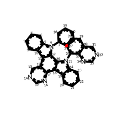 c1ccc(-n2c3ccccc3c3c4cncnc4c4c5ccccc5n(-c5cccc6cncnc56)c4c32)cc1